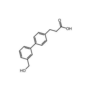 O=C(O)CCc1ccc(-c2cccc(CO)c2)cc1